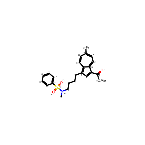 COC(=O)c1cc(CCCCN(C)S(=O)(=O)c2ccccc2)c2ccc(C(C)C)ccc1-2